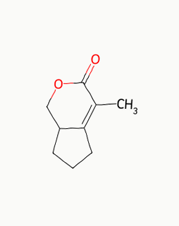 CC1=C2CCCC2COC1=O